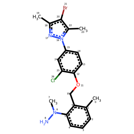 Cc1cccc(N(C)N)c1COc1ccc(-n2nc(C)c(Br)c2C)cc1Cl